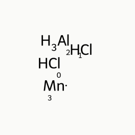 Cl.Cl.[AlH3].[Mn]